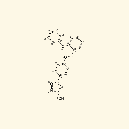 Oc1cc(-c2ccc(OCc3ccccc3Oc3cccnc3)cc2)on1